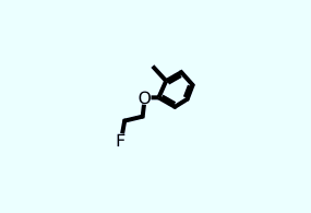 Cc1ccccc1OCCF